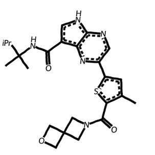 Cc1cc(-c2cnc3[nH]cc(C(=O)NC(C)(C)C(C)C)c3n2)sc1C(=O)N1CC2(COC2)C1